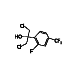 OC(CCl)(CCl)c1ccc(C(F)(F)F)cc1F